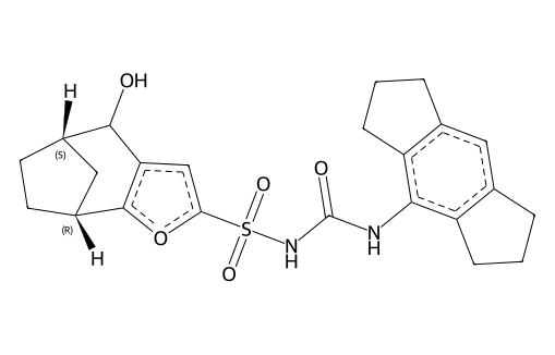 O=C(Nc1c2c(cc3c1CCC3)CCC2)NS(=O)(=O)c1cc2c(o1)[C@@H]1CC[C@@H](C1)C2O